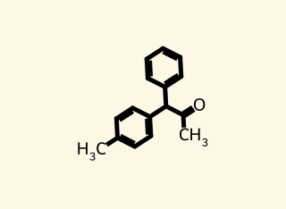 CC(=O)C(c1ccccc1)c1ccc(C)cc1